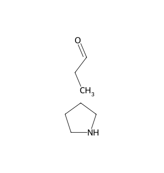 C1CCNC1.CCC=O